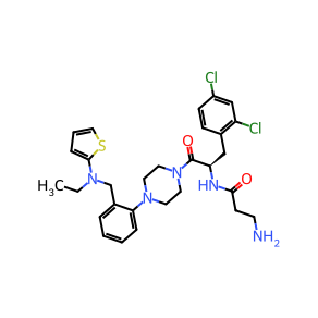 CCN(Cc1ccccc1N1CCN(C(=O)[C@@H](Cc2ccc(Cl)cc2Cl)NC(=O)CCN)CC1)c1cccs1